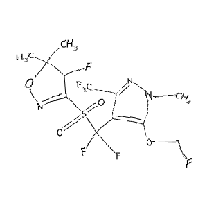 Cn1nc(C(F)(F)F)c(C(F)(F)S(=O)(=O)C2=NOC(C)(C)C2F)c1OCF